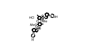 COc1c(Oc2cc(C)cc(S(=O)(=O)n3ccc4c(N5CCNCC5)cccc43)c2OC)cc(C)cc1S(=O)(=O)n1ccc2c(N3CCNCC3)cccc21.Cl